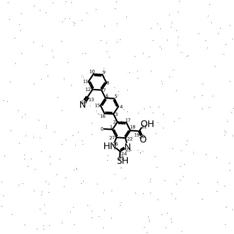 Cc1c(-c2ccc(-c3ccccc3C#N)cc2)cc(C(=O)O)c2nc(S)[nH]c12